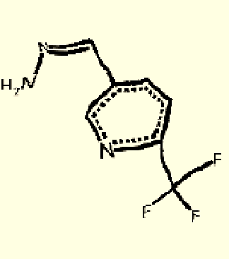 N/N=C\c1ccc(C(F)(F)F)nc1